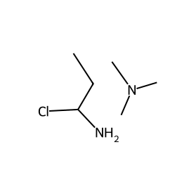 CCC(N)Cl.CN(C)C